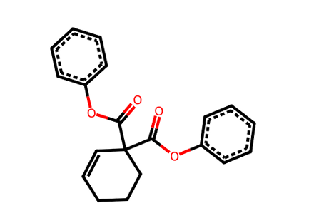 O=C(Oc1ccccc1)C1(C(=O)Oc2ccccc2)C=CCCC1